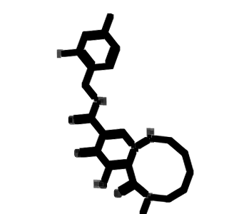 Cc1ccc(CNC(=O)c2cn3c(c(O)c2=O)C(=O)N(C)CCCCCN3)c(F)c1